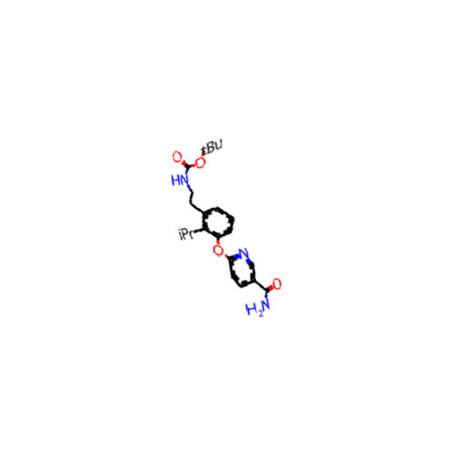 CC(C)c1c(CCNC(=O)OC(C)(C)C)cccc1Oc1ccc(C(N)=O)cn1